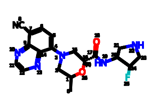 CC1CN(c2ccc(C#N)c3nccnc23)C[C@H](C(=O)NC2CNCC2F)O1